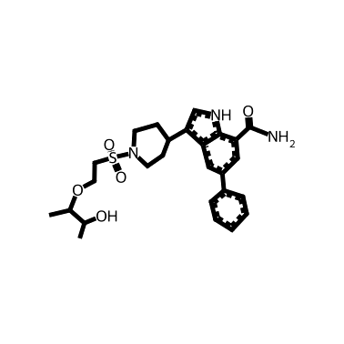 CC(O)C(C)OCCS(=O)(=O)N1CCC(c2c[nH]c3c(C(N)=O)cc(-c4ccccc4)cc23)CC1